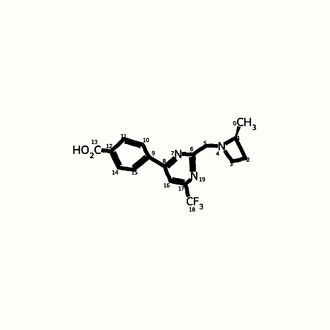 C[C@H]1CCN1Cc1nc(-c2ccc(C(=O)O)cc2)cc(C(F)(F)F)n1